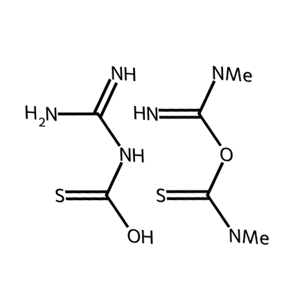 CNC(=N)OC(=S)NC.N=C(N)NC(O)=S